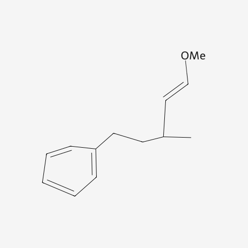 COC=CC(C)CCc1ccccc1